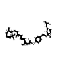 C=C[C@](C)(/C=C/c1ccc(OC(=O)\C=C(C)/C=C/C=C(C)/C=C\C2=C(C)CCCC2(C)C)cc1)CCC=C(C)C